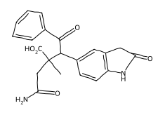 CC(CC(N)=O)(C(=O)O)C(C(=O)c1ccccc1)c1ccc2c(c1)CC(=O)N2